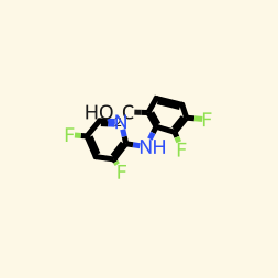 O=C(O)c1ccc(F)c(F)c1Nc1ncc(F)cc1F